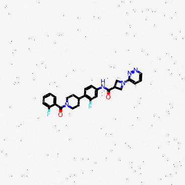 O=C(Nc1ccc(C2CCN(C(=O)c3ccccc3F)CC2)c(F)c1)C1CN(c2cccnn2)C1